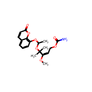 CO/C(=C/COC(N)=O)C(C)(C)OC(C)Oc1cccc2ccc(=O)oc12